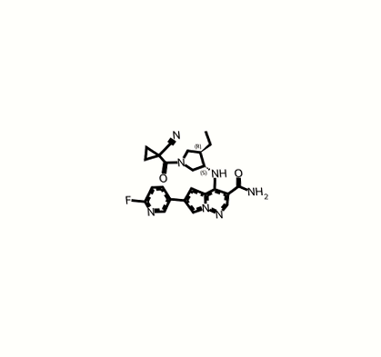 CC[C@@H]1CN(C(=O)C2(C#N)CC2)C[C@H]1Nc1c(C(N)=O)cnn2cc(-c3ccc(F)nc3)cc12